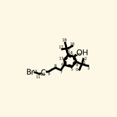 CC(C)(C)c1cc(CCCCCBr)cc(C(C)(C)C)c1O